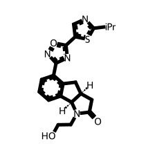 CC(C)c1ncc(-c2nc(-c3cccc4c3C[C@H]3CC(=O)N(CCO)[C@@H]43)no2)s1